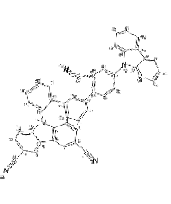 N#Cc1ccc2c(c1)c1cc(C#N)ccc1n2-c1ccccc1-c1cccc(-c2ccc(-n3c4ccccc4c4ccccc43)cc2C#N)c1